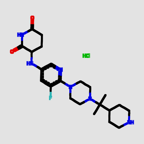 CC(C)(C1CCNCC1)N1CCN(c2ncc(NC3CCC(=O)NC3=O)cc2F)CC1.Cl